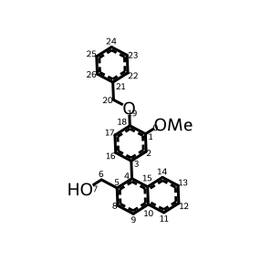 COc1cc(-c2c(CO)ccc3ccccc23)ccc1OCc1ccccc1